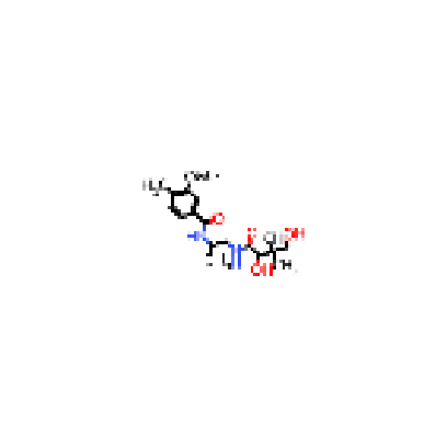 COc1cc(C(=O)NC(C)CNC(=O)C(O)C(C)(C)CO)ccc1C